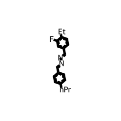 CCCc1ccc(/C=N/N=C/c2ccc(CC)c(F)c2)cc1